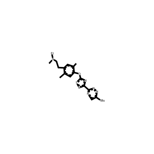 CCN(C)CCc1cc(C)c(Oc2nc(-c3ncc(C(C)(C)C)nn3)ns2)cc1C